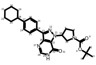 CC(C)(C)OC(=O)N1CCC(n2nc(-c3ccc(C4CCCCC4)cc3)c3nc[nH]c(=O)c32)C1